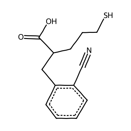 N#Cc1ccccc1CC(CCCS)C(=O)O